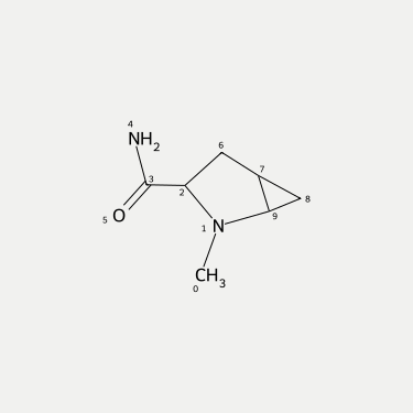 CN1C(C(N)=O)CC2CC21